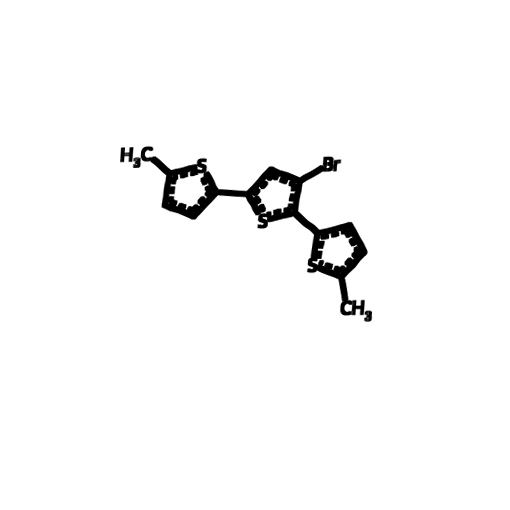 Cc1ccc(-c2cc(Br)c(-c3ccc(C)s3)s2)s1